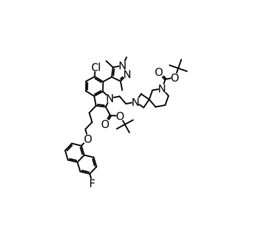 Cc1nn(C)c(C)c1-c1c(Cl)ccc2c(CCCOc3cccc4cc(F)ccc34)c(C(=O)OC(C)(C)C)n(CCN3CC4(CCCN(C(=O)OC(C)(C)C)C4)C3)c12